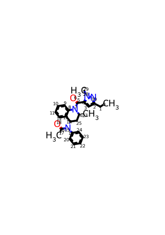 CCc1cc(C(=O)N2c3ccccc3[C@@H](N(C(C)=O)c3ccccc3)C[C@H]2C)n(C)n1